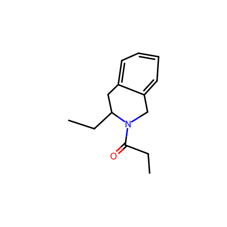 CCC(=O)N1Cc2ccccc2CC1CC